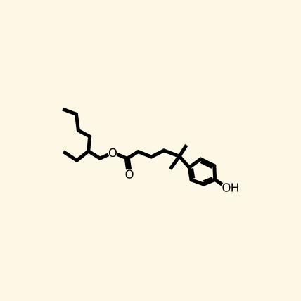 CCCCC(CC)COC(=O)CCCC(C)(C)c1ccc(O)cc1